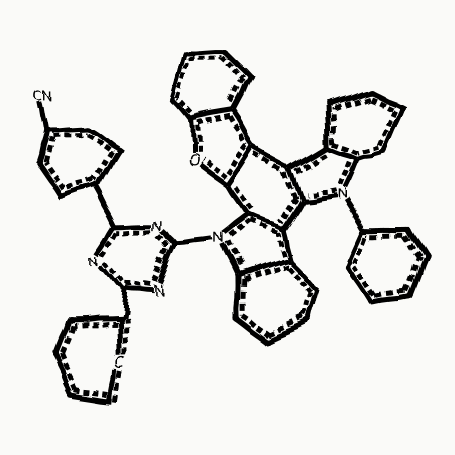 N#Cc1ccc(-c2nc(-c3ccccc3)nc(-n3c4ccccc4c4c3c3oc5ccccc5c3c3c5ccccc5n(-c5ccccc5)c34)n2)cc1